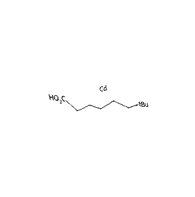 CC(C)(C)CCCCCC(=O)O.[Cd]